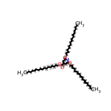 CCCCCC=CCC=CCCCCCCCCOC(=O)c1cc(OCCCCCCCCC=CCC=CCCCCC)nc(OCCCCCCCCC=CCC=CCCCCC)c1